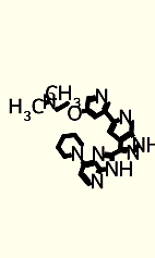 CN(C)CCOc1cncc(-c2cc3c(-c4nc5c(N6CCCCC6)ccnc5[nH]4)n[nH]c3cn2)c1